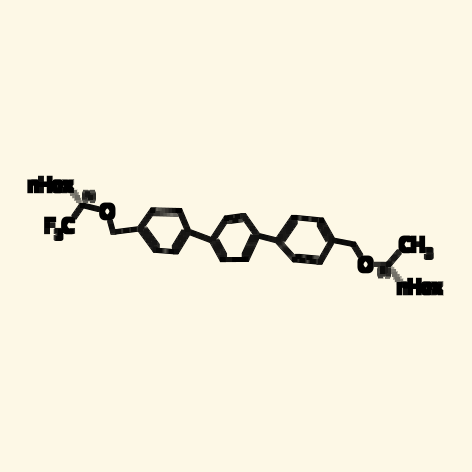 CCCCCC[C@@H](C)OCc1ccc(-c2ccc(-c3ccc(CO[C@@H](CCCCCC)C(F)(F)F)cc3)cc2)cc1